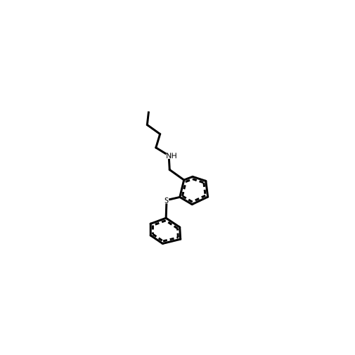 CCCCNCc1ccccc1Sc1ccccc1